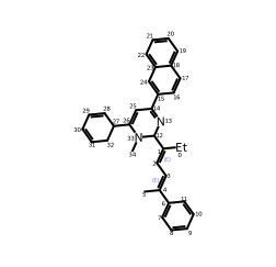 CC/C(=C\C=C(/C)c1ccccc1)C1N=C(c2ccc3ccccc3c2)C=C(C2C=CC=CC2)N1C